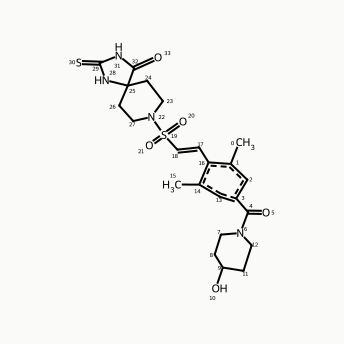 Cc1cc(C(=O)N2CCC(O)CC2)cc(C)c1C=CS(=O)(=O)N1CCC2(CC1)NC(=S)NC2=O